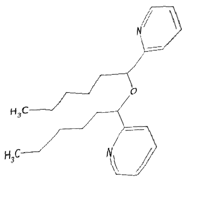 CCCCCC(OC(CCCCC)c1ccccn1)c1ccccn1